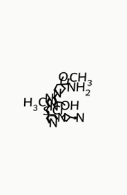 Cc1nc(N2CCC3(CC2)CO[C@@H](C)[C@H]3N)c(CO)nc1Sc1ccnc(N2CC(C#N)C2)c1Cl